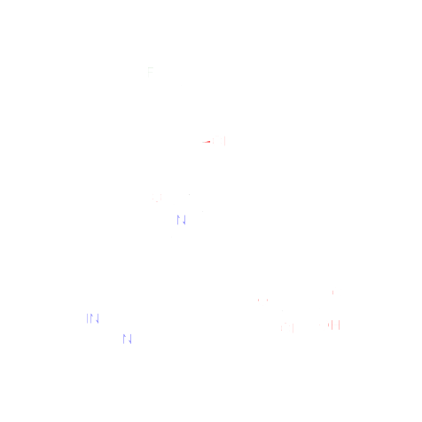 O=C(O)C(CCCc1ccc(C2C(CC[C@H](O)c3ccc(F)cc3)C(=O)N2c2ccc(CCc3ncc[nH]3)cc2)cc1)C(=O)O